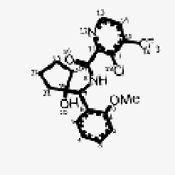 COc1ccccc1C(NC(=O)c1nccc(C(F)(F)F)c1Cl)C1(O)CCCC1